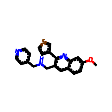 COc1ccc2cc(CNCc3ccncc3)c(-c3ccsc3)nc2c1